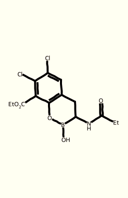 CCOC(=O)c1c(Cl)c(Cl)cc2c1OB(O)C(NC(=O)CC)C2